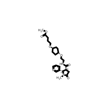 COC(=O)CCCO[C@H]1CC[C@H](OCCNC(=O)[C@H]2CC(=O)N(C)[C@@H]2c2cccnc2)CC1